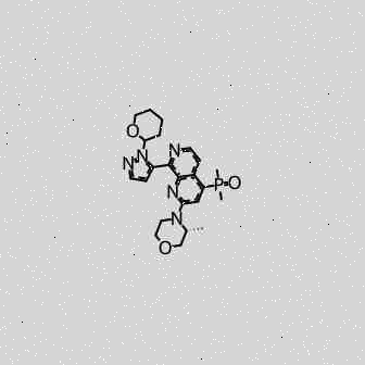 C[C@@H]1COCCN1c1cc(P(C)(C)=O)c2ccnc(-c3ccnn3C3CCCCO3)c2n1